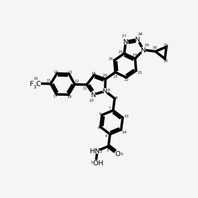 O=C(NO)c1ccc(Cn2nc(-c3ccc(C(F)(F)F)cc3)cc2-c2ccc3c(c2)nnn3C2CC2)cc1